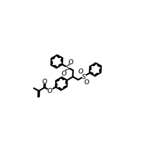 C=C(C)C(=O)Oc1ccc(C(CS(=O)(=O)c2ccccc2)CS(=O)(=O)c2ccccc2)cc1